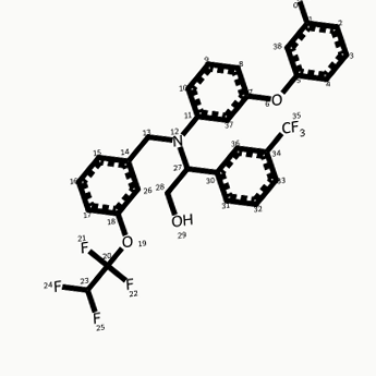 CC(C)c1cccc(Oc2cccc(N(Cc3cccc(OC(F)(F)C(F)F)c3)C(CO)c3cccc(C(F)(F)F)c3)c2)c1